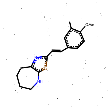 COc1ccc(/C=C/c2nc3c(s2)NCCCC3)cc1C